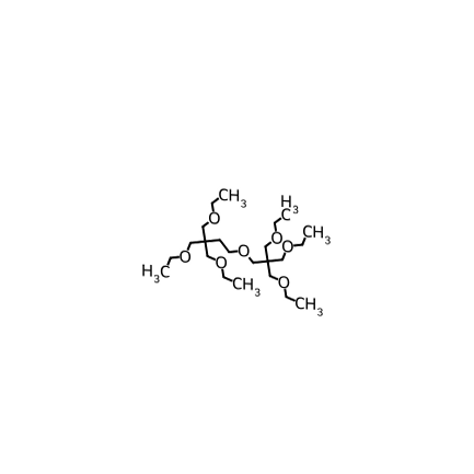 CCOCC(CCOCC(COCC)(COCC)COCC)(COCC)COCC